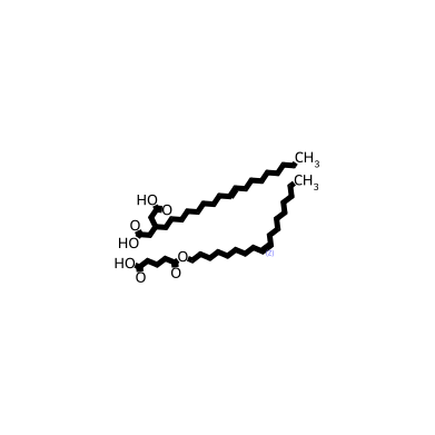 CCCCCCCC/C=C\CCCCCCCCOC(=O)CCCC(=O)O.CCCCCCCCC=CCCCCCCCCC(CC(=O)O)CC(=O)O